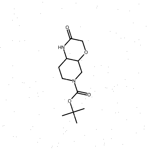 CC(C)(C)OC(=O)N1CCC2NC(=O)COC2C1